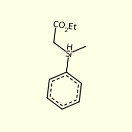 CCOC(=O)C[SiH](C)c1ccccc1